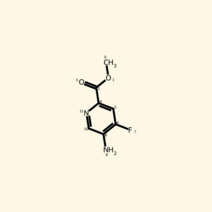 COC(=O)c1cc(F)c(N)cn1